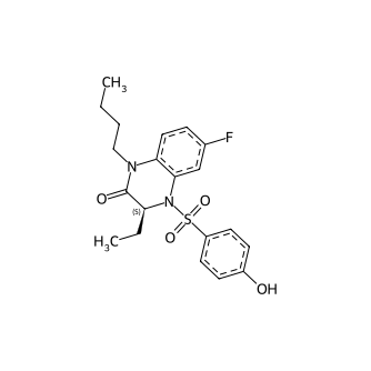 CCCCN1C(=O)[C@H](CC)N(S(=O)(=O)c2ccc(O)cc2)c2cc(F)ccc21